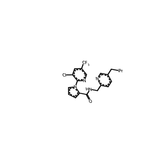 CC(C)Cc1ccc(CNC(=O)c2cccn2-c2ncc(C(F)(F)F)cc2Cl)nc1